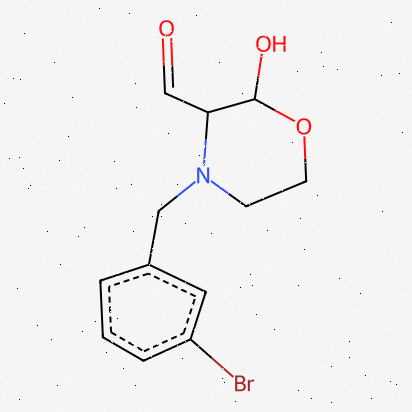 O=CC1C(O)OCCN1Cc1cccc(Br)c1